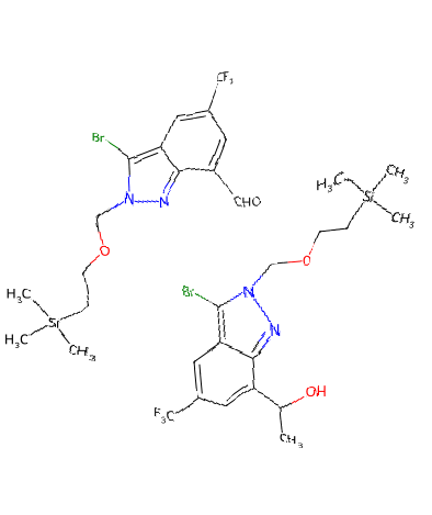 CC(O)c1cc(C(F)(F)F)cc2c(Br)n(COCC[Si](C)(C)C)nc12.C[Si](C)(C)CCOCn1nc2c(C=O)cc(C(F)(F)F)cc2c1Br